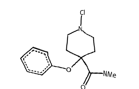 CNC(=O)C1(Oc2ccccc2)CCN(Cl)CC1